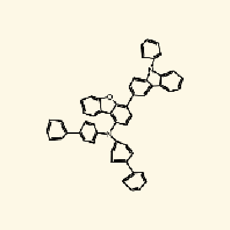 c1ccc(-c2ccc(N(c3ccc(-c4ccccc4)cc3)c3ccc(-c4ccc5c(c4)c4ccccc4n5-c4ccccc4)c4oc5ccccc5c34)cc2)cc1